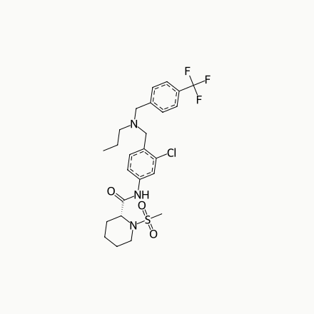 CCCN(Cc1ccc(C(F)(F)F)cc1)Cc1ccc(NC(=O)[C@H]2CCCCN2S(C)(=O)=O)cc1Cl